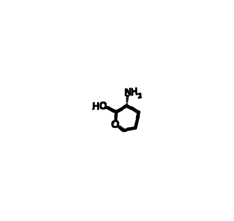 N[C@@H]1CCCOC1O